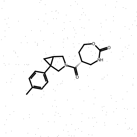 Cc1ccc(C23CC2CN(C(=O)[C@@H]2CCOC(=O)NC2)C3)cc1